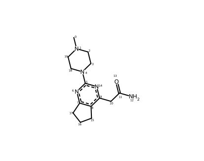 CN1CCN(c2nc3c(c(CC(N)=O)n2)CCC3)CC1